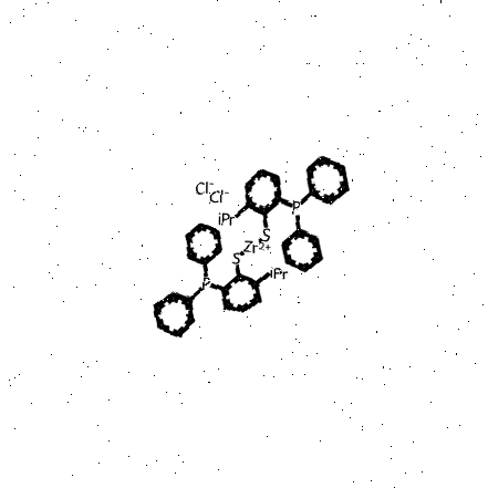 CC(C)c1cccc(P(c2ccccc2)c2ccccc2)c1[S][Zr+2][S]c1c(C(C)C)cccc1P(c1ccccc1)c1ccccc1.[Cl-].[Cl-]